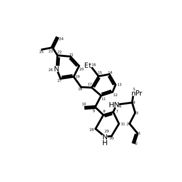 C=CCCC(CCC)NC1=C(C(=C)c2cccc(CC)c2Cc2ccc(C(=C)C)nc2)CNCC1